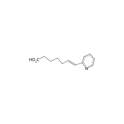 O=C(O)CCCC/C=C/c1ccccn1